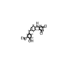 CCOc1cc(CN2CCC(Nc3cc(Cl)nc(Cl)n3)CC2)ccc1O